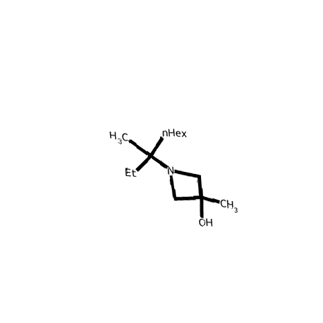 CCCCCCC(C)(CC)N1CC(C)(O)C1